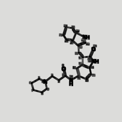 O=C(CCN1CCCCC1)Nc1ccc2c(c1)C(=Cc1c[nH]c3ccccc13)C(=O)N2